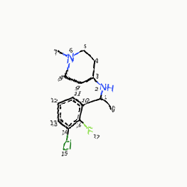 CC(NC1CCN(C)CC1)c1cccc(Cl)c1F